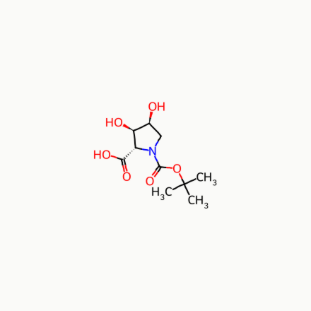 CC(C)(C)OC(=O)N1C[C@H](O)[C@H](O)[C@H]1C(=O)O